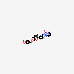 COc1ccc(COCC2O[C@@H](c3ccc(Cl)c(Cn4nc5ccccn5c4=O)c3)C(C)[C@@H](C)[C@@H]2C)cc1